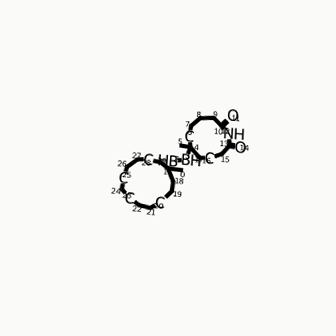 CC1(BBC2(C)CCCCC(=O)NC(=O)CCC2)CCCCCCCCCCCC1